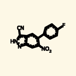 N#Cc1[nH]nc2cc([N+](=O)[O-])c(-c3ccc(F)cc3)cc12